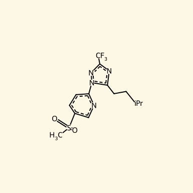 CC(C)CCc1nc(C(F)(F)F)nn1-c1ccc(S(C)(=O)=O)cn1